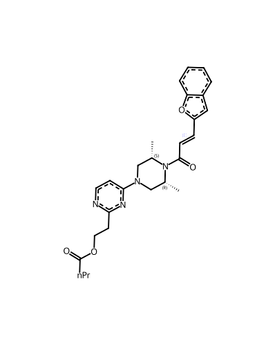 CCCC(=O)OCCc1nccc(N2C[C@@H](C)N(C(=O)/C=C/c3cc4ccccc4o3)[C@@H](C)C2)n1